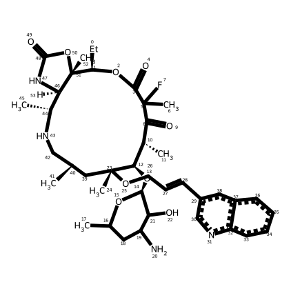 CC[C@H]1OC(=O)C(C)(F)C(=O)[C@H](C)[C@@H](O[C@@H]2OC(C)CC(N)C2O)[C@](C)(OC/C=C/c2cnc3ccccc3c2)C[C@@H](C)CN[C@H](C)[C@H]2NC(=O)O[C@@]21C